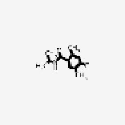 Cc1cc(C(=O)NC(C)C)c(C)cc1F